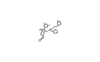 Cc1cc(C)cc(-c2[nH]c3ccc(N=C=O)cc3c2CCN(CCCCc2cccnc2)Cc2ccccc2)c1